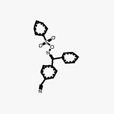 N#Cc1ccc(C(=NOS(=O)(=O)c2ccccc2)c2ccccc2)cc1